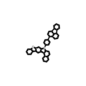 c1ccc2c(c1)-c1cccc3c(-c4ccc(-n5c6cc7oc8ccccc8c7cc6c6c7ccccc7ccc65)cc4)ccc-2c13